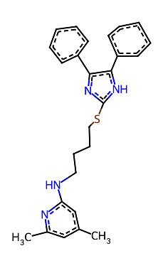 Cc1cc(C)nc(NCCCCSc2nc(-c3ccccc3)c(-c3ccccc3)[nH]2)c1